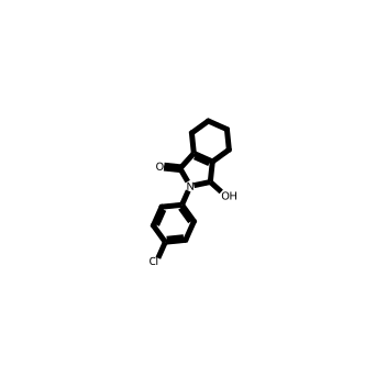 O=C1C2=C(CCCC2)C(O)N1c1ccc(Cl)cc1